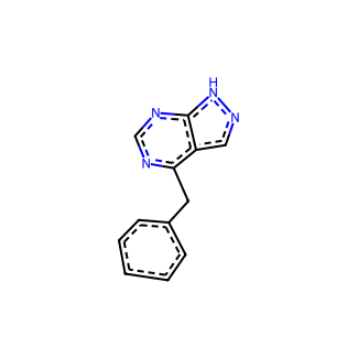 c1ccc(Cc2ncnc3[nH]ncc23)cc1